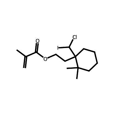 C=C(C)C(=O)OCCC1(C(Cl)I)CCCCC1(C)C